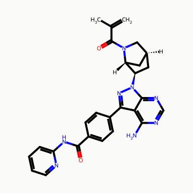 C=C(C)C(=O)N1C[C@@H]2C[C@@H]1[C@H](n1nc(-c3ccc(C(=O)Nc4ccccn4)cc3)c3c(N)ncnc31)C2